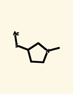 CC(=O)SC1CCN(C)C1